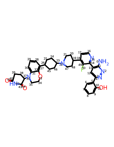 Nc1nnc(-c2ccccc2O)cc1-c1nccc(C2CCN(C3CCC(c4cccc5c4OCCN5C4CCC(=O)NC4=O)CC3)CC2)c1F